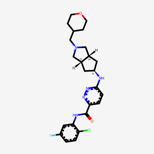 O=C(Nc1cc(F)ccc1Cl)c1ccc(N[C@H]2C[C@@H]3CN(CC4CCOCC4)C[C@@H]3C2)nn1